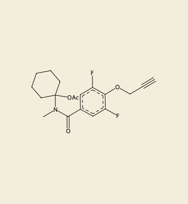 C#CCOc1c(F)cc(C(=O)N(C)C2(OC(C)=O)CCCCC2)cc1F